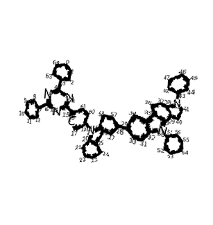 c1ccc(-c2nc(-c3ccccc3)nc(-c3ccc(-n4c5ccccc5c5cc(-c6ccc7c(c6)c6ccc8c(ccn8-c8ccccc8)c6n7-c6ccccc6)ccc54)cc3)n2)cc1